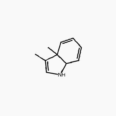 CC1=CNC2C=CC=CC12C